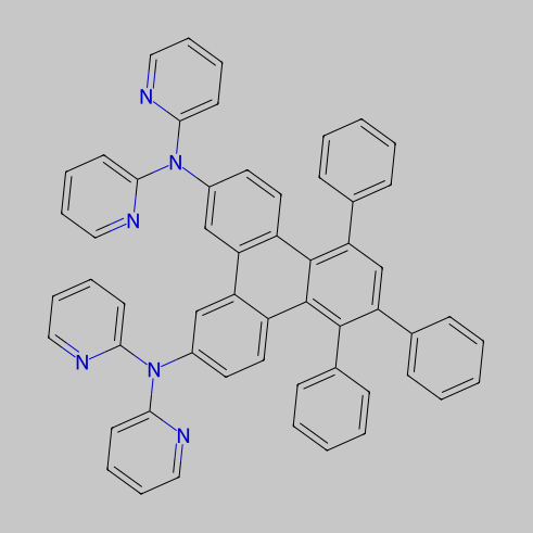 c1ccc(-c2cc(-c3ccccc3)c3c4ccc(N(c5ccccn5)c5ccccn5)cc4c4cc(N(c5ccccn5)c5ccccn5)ccc4c3c2-c2ccccc2)cc1